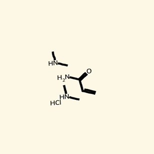 C=CC(N)=O.CNC.CNC.Cl